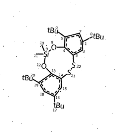 CC(C)(C)c1cc2c(c(C(C)(C)C)c1)O[Si](C)(C)Oc1c(cc(C(C)(C)C)cc1C(C)(C)C)SS2